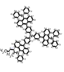 C=C/C=C\C(C)N(c1ccccc1)c1c2ccccc2c(-c2ccc(N(c3ccc(-c4c5ccccc5c(N(c5ccccc5)c5ccccc5)c5ccccc45)cc3)c3ccc(-c4c5ccccc5c(N(c5ccccc5)c5ccccc5)c5ccccc45)cc3)cc2)c2ccccc12